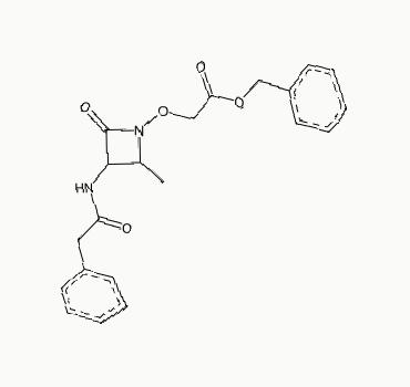 CC1C(NC(=O)Cc2ccccc2)C(=O)N1OCC(=O)OCc1ccccc1